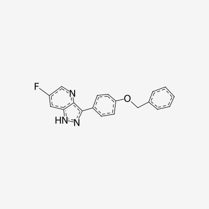 Fc1cnc2c(-c3ccc(OCc4ccccc4)cc3)n[nH]c2c1